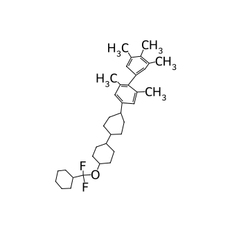 Cc1cc(-c2c(C)cc(C3CCC(C4CCC(OC(F)(F)C5CCCCC5)CC4)CC3)cc2C)cc(C)c1C